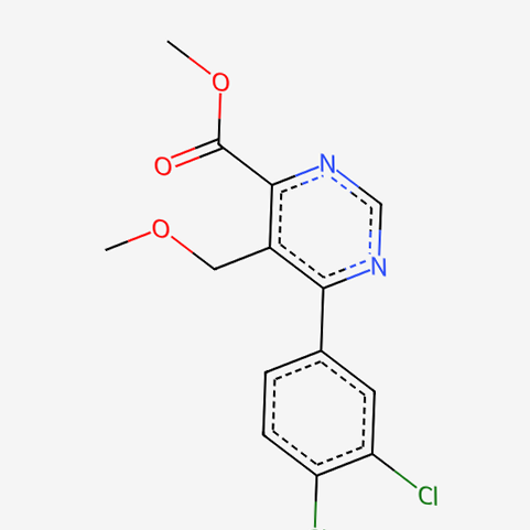 COCc1c(C(=O)OC)ncnc1-c1ccc(Cl)c(Cl)c1